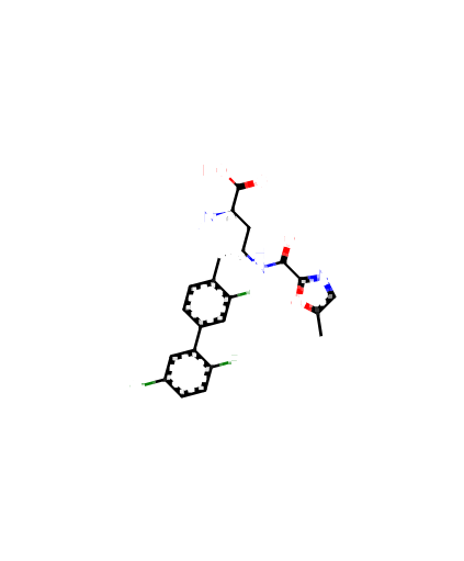 Cc1cnc(C(=O)N[C@H](Cc2ccc(-c3cc(Cl)ccc3F)cc2Cl)C[C@@H](N)C(=O)O)o1